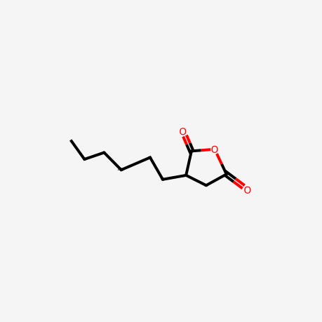 CCC[CH]CCC1CC(=O)OC1=O